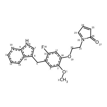 COc1cc(Cc2c[nH]c3ncccc23)c(F)cc1OCC[N+]1=CC=CC1=O